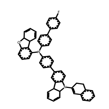 Fc1ccc(-c2ccc(N(c3ccc(-c4ccc5c(c4)C4C=CC=CC4N5C4=Cc5ccccc5CC4)cc3)c3cccc4c3C3C=CC=CC3O4)cc2)cc1